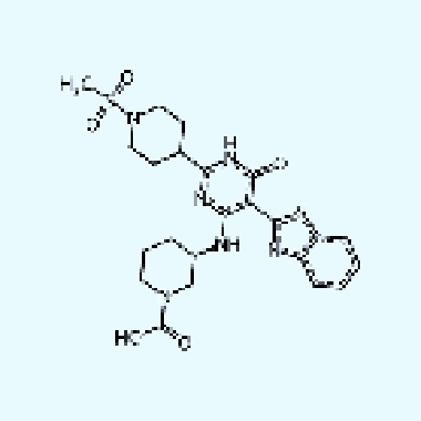 CS(=O)(=O)N1CCC(c2nc(N[C@@H]3CCCN(C(=O)O)C3)c(-c3nc4ccccc4s3)c(=O)[nH]2)CC1